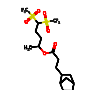 CC(CCC(S(=O)(=O)C(F)(F)F)S(=O)(=O)C(F)(F)F)OC(=O)CCC1CC2C=CC1C2